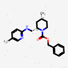 C[C@@H]1CCN(C(=O)OCc2ccccc2)[C@H](CNc2ccc(C(F)(F)F)cn2)C1